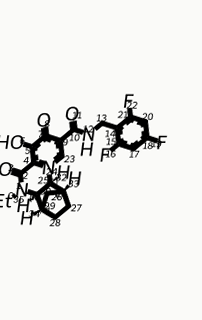 CCN1C(=O)c2c(O)c(=O)c(C(=O)NCc3c(F)cc(F)cc3F)cn2[C@H]2[C@@H]3CC[C@@H](C3)[C@H]21